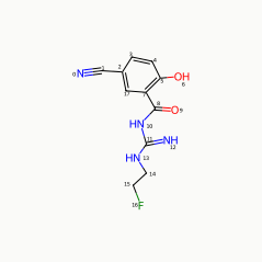 N#Cc1ccc(O)c(C(=O)NC(=N)NCCF)c1